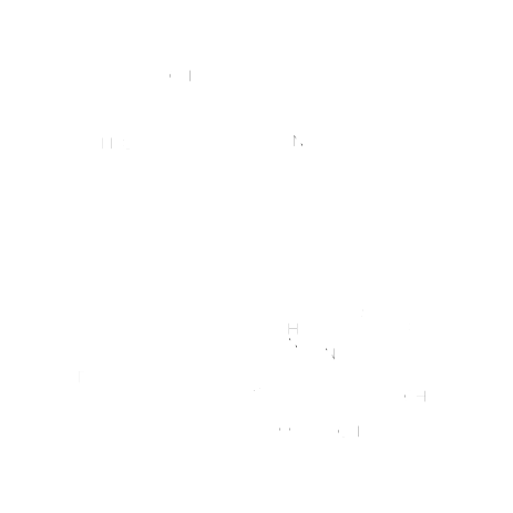 CC(C)CCn1cc(/C=C/C(=O)N(NC(=O)c2ccc(F)cc2)C(C)C)c2ccccc21